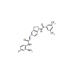 Nc1cc(F)ccc1NC(=O)/C=C/c1ccc2c(c1)CCC2NC(=O)c1cc(C(F)(F)F)cc(C(F)(F)F)c1